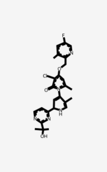 CC1=CNC(c2ccnc(C(C)(C)O)n2)C=C1n1c(C)cc(OCc2ncc(F)cc2C)c(Cl)c1=O